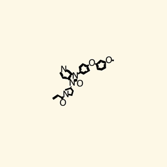 C=CC(=O)N1CC[C@@H](n2c(=O)n(-c3ccc(Oc4cccc(OC)c4)cc3)c3cnccc32)C1